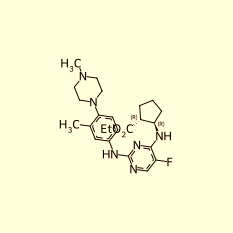 CCOC(=O)[C@@H]1CCC[C@H]1Nc1nc(Nc2ccc(N3CCN(C)CC3)c(C)c2)ncc1F